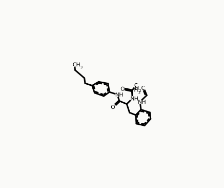 C=CNc1ccccc1CC(NC(C)=O)C(=O)Nc1ccc(CCCC)cc1